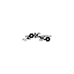 Cc1nc2cc(S(=O)(=O)C(NC[C@@H](O)[C@H](Cc3ccccc3)NC(=O)O)C(C)C)ccc2[nH]1